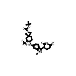 Cn1nc(C2CCC(=O)NC2=O)c2ccc(N[C@@H]3CCC4(C[C@@H]3C(F)(F)F)CN(C(=O)OC(C)(C)C)C4)cc21